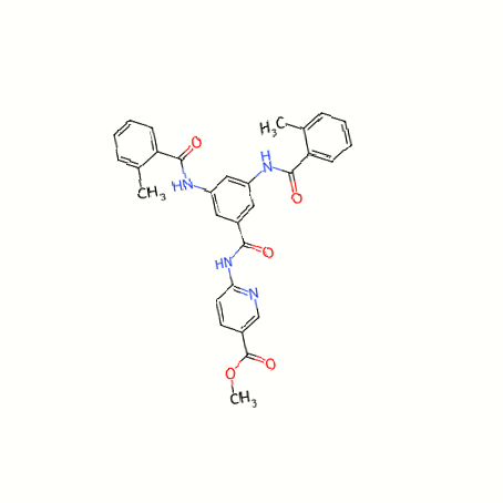 COC(=O)c1ccc(NC(=O)c2cc(NC(=O)c3ccccc3C)cc(NC(=O)c3ccccc3C)c2)nc1